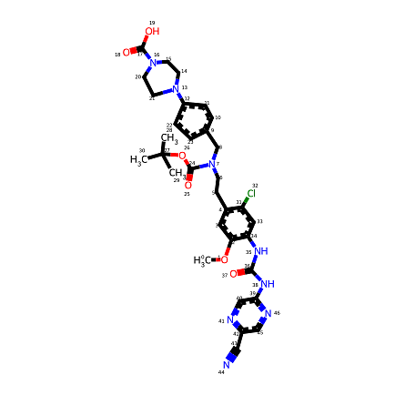 COc1cc(CCN(Cc2ccc(N3CCN(C(=O)O)CC3)cc2)C(=O)OC(C)(C)C)c(Cl)cc1NC(=O)Nc1cnc(C#N)cn1